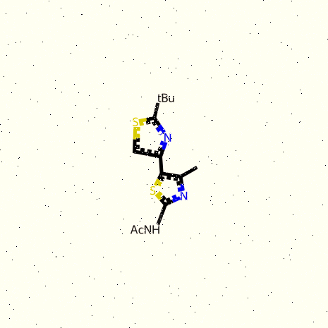 CC(=O)Nc1nc(C)c(-c2csc(C(C)(C)C)n2)s1